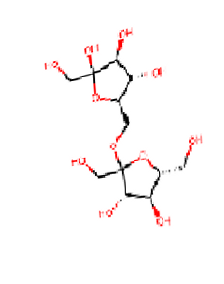 OC[C@H]1O[C@@](CO)(OC[C@H]2O[C@](O)(CO)[C@@H](O)[C@@H]2O)[C@@H](O)[C@@H]1O